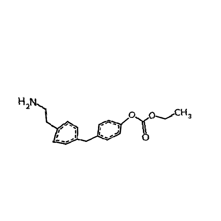 CCOC(=O)Oc1ccc(Cc2ccc(CCN)cc2)cc1